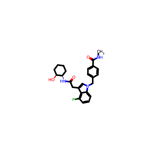 CNC(=O)c1ccc(Cn2cc(CC(=O)N[C@H]3CCCC[C@@H]3O)c3c(F)cccc32)cc1